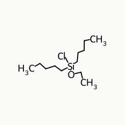 CCCCC[Si](Cl)(CCCCC)OCC